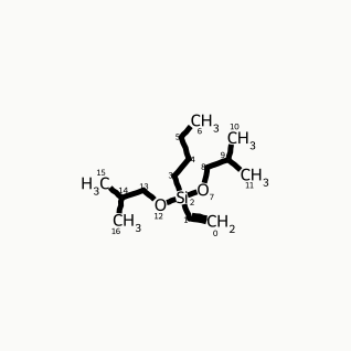 C=C[Si](CCCC)(OCC(C)C)OCC(C)C